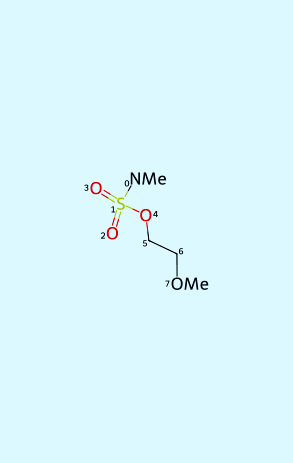 CNS(=O)(=O)OCCOC